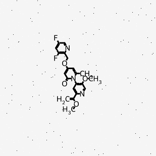 C=C(OC)c1cc(-n2c(C)cc(OCc3ncc(F)cc3F)cc2=O)c(OC)cn1